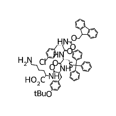 CC(C)(C)Oc1ccc(C[C@H](NC(=O)[C@@H](CSC(c2ccccc2)(c2ccccc2)c2ccccc2)NC(=O)[C@H](Cc2ccc(Cl)cc2)NC(=O)OCC2c3ccccc3-c3ccccc32)C(=O)N[C@H](CCCCN)C(=O)O)cc1